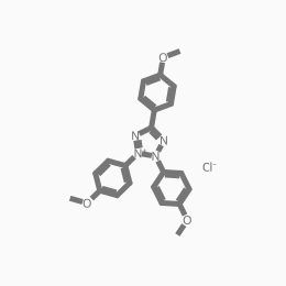 COc1ccc(-c2nn(-c3ccc(OC)cc3)[n+](-c3ccc(OC)cc3)n2)cc1.[Cl-]